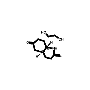 O=C1CC[C@@H]2NC(=O)CC[C@H]2C1.OCCO